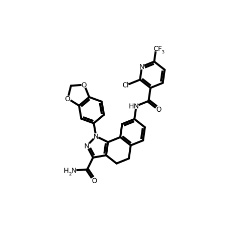 NC(=O)c1nn(-c2ccc3c(c2)OCO3)c2c1CCc1ccc(NC(=O)c3ccc(C(F)(F)F)nc3Cl)cc1-2